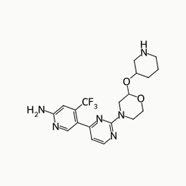 Nc1cc(C(F)(F)F)c(-c2ccnc(N3CCOC(OC4CCCNC4)C3)n2)cn1